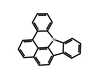 c1cc2ccc3c4ccccc4n4c5ccccc5c(c1)c2c34